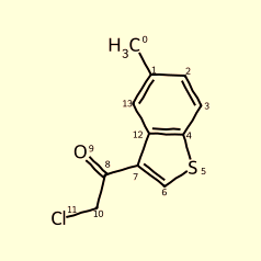 Cc1ccc2scc(C(=O)CCl)c2c1